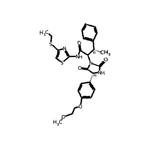 CCSc1csc(NC(=O)C([C@@H](C)c2ccccc2)N2C(=O)N[C@H](c3ccc(OCCOC)cc3)C2=O)n1